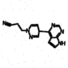 N#CCCN1C=CC(c2ncnc3[nH]ccc23)C=N1